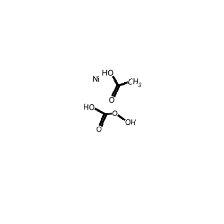 CC(=O)O.O=C(O)OO.[Ni]